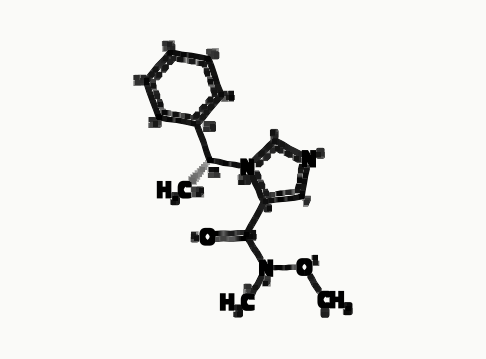 CON(C)C(=O)c1cncn1[C@H](C)c1ccccc1